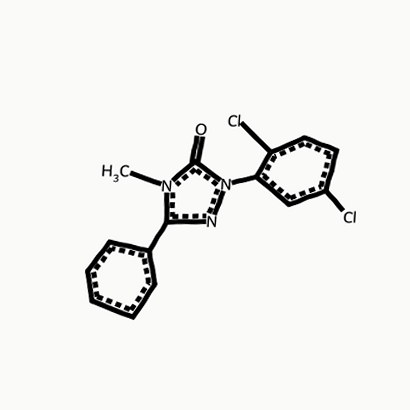 Cn1c(-c2ccccc2)nn(-c2cc(Cl)ccc2Cl)c1=O